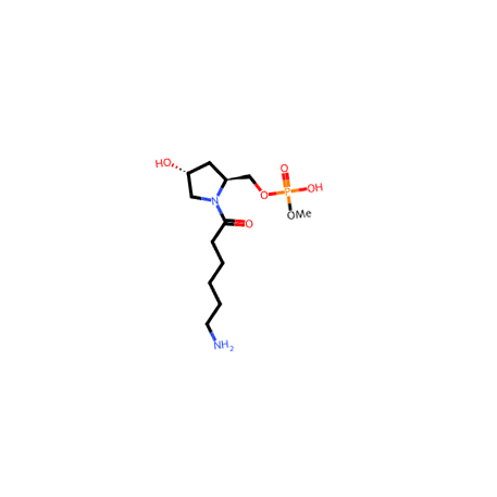 COP(=O)(O)OC[C@@H]1C[C@@H](O)CN1C(=O)CCCCCN